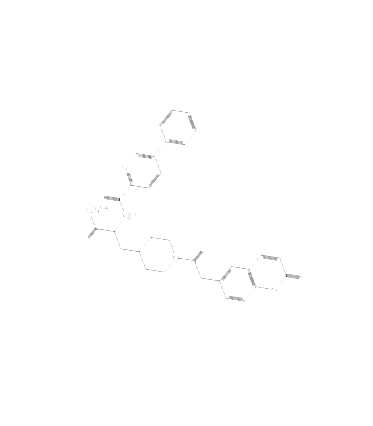 CNC(=O)C(CC1CCN(C(=O)Cc2ccc3[nH]c(=O)ccc3c2)CC1)NC(=O)c1ccc(-c2ccccc2)cn1